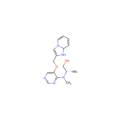 CCCC[C@@H](CO)N(C)c1ncncc1OCC1=CN2C=CC=CC2N1